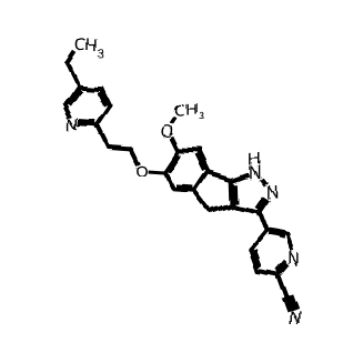 CCc1ccc(CCOc2cc3c(cc2OC)-c2[nH]nc(-c4ccc(C#N)nc4)c2C3)nc1